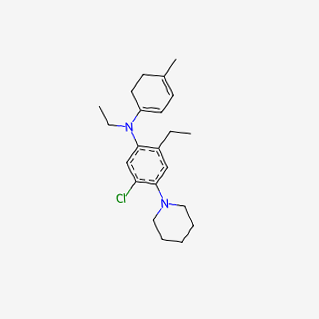 CCc1cc(N2CCCCC2)c(Cl)cc1N(CC)C1=CC=C(C)CC1